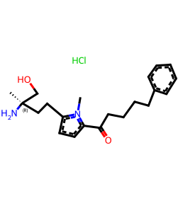 Cl.Cn1c(CC[C@@](C)(N)CO)ccc1C(=O)CCCCc1ccccc1